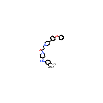 COc1cc(NC2CCN(C(=O)CCN3CCC(c4ccc(Oc5ccccc5)cc4)CC3)CC2)ccc1N=O